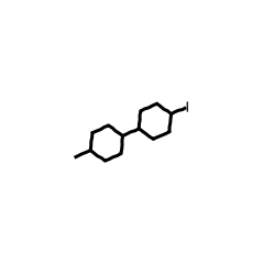 CC1CCC(C2CCC(I)CC2)CC1